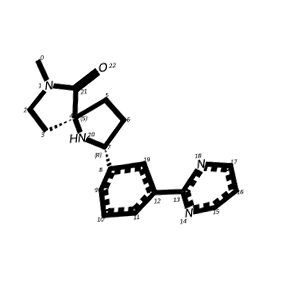 CN1CC[C@@]2(CC[C@H](c3cccc(-c4ncccn4)c3)N2)C1=O